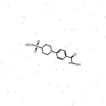 CCCCCCCCS(=O)(=O)N1CCN(c2ccc(C(=O)NO)cc2)CC1